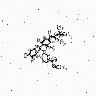 COC(=O)N1CCO[C@@H](Cc2c(-c3c(C)cc(NC(=O)OC(C)(C)C)cc3F)nc3cc(Cl)c(F)cn23)C1